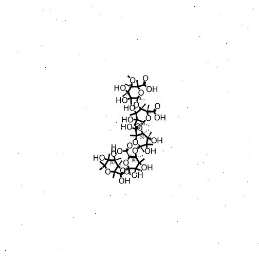 CO[C@]1(C)C(C)(C(=O)O)O[C@@](C)(O[C@@]2(C)C(C)(O)C(C)(O)[C@](C)(O[C@]3(C)C(C)(C(=O)O)O[C@@](C)(O[C@]4(C)[C@H](C(=O)O)O[C@@](C)(O[C@]5(C)C(C)(C(=O)O)OC(C)(C)C(C)(O)[C@]5(C)O)C(C)(O)C4(C)O)C(C)(O)[C@@]3(C)O)O[C@@]2(C)C(=O)O)C(C)(O)[C@]1(C)O